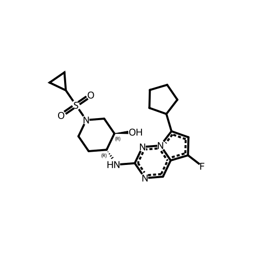 O=S(=O)(C1CC1)N1CC[C@@H](Nc2ncc3c(F)cc(C4CCCC4)n3n2)[C@H](O)C1